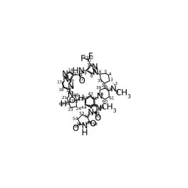 CN(C[C@H]1CC[C@H](n2cc(NC(=O)c3cnn4ccc(N5C[C@H]6CC[C@@H](C5)O6)nc34)c(C(F)F)n2)CC1)C1CCN(c2cccc3c2n(C)c(=O)n3C2CCC(=O)NC2=O)CC1